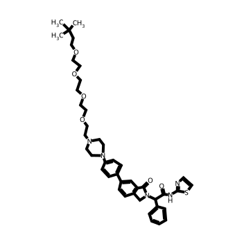 CC(C)(C)CCOCCOCCOCCOCCN1CCN(c2ccc(-c3ccc4c(c3)C(=O)N(C(C(=O)Nc3nccs3)c3ccccc3)C4)cc2)CC1